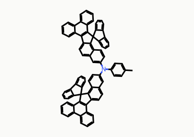 Cc1ccc(N(c2ccc3c4c(ccc3c2)-c2c(c3ccccc3c3ccccc23)C42c3ccccc3-c3ccccc32)c2ccc3c4c(ccc3c2)-c2c(c3ccccc3c3ccccc23)C42c3ccccc3-c3ccccc32)cc1